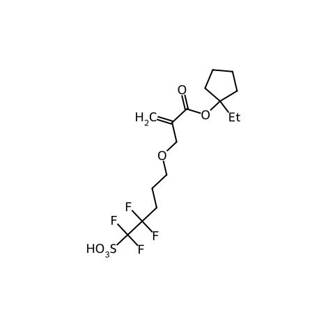 C=C(COCCCC(F)(F)C(F)(F)S(=O)(=O)O)C(=O)OC1(CC)CCCC1